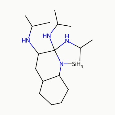 CC(C)NC1CC2CCCCC2N([SiH3])C1(NC(C)C)NC(C)C